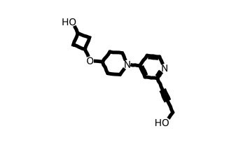 OCC#Cc1cc(N2CCC(OC3CC(O)C3)CC2)ccn1